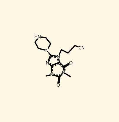 Cn1c(=O)c2c(nc(N3CCNCC3)n2CCCC#N)n(C)c1=O